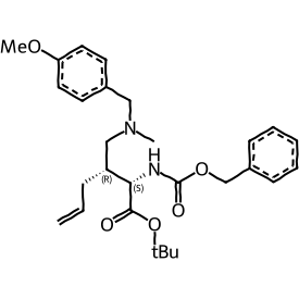 C=CC[C@H](CN(C)Cc1ccc(OC)cc1)[C@H](NC(=O)OCc1ccccc1)C(=O)OC(C)(C)C